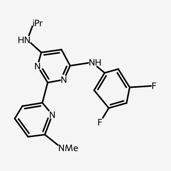 CNc1cccc(-c2nc(Nc3cc(F)cc(F)c3)cc(NC(C)C)n2)n1